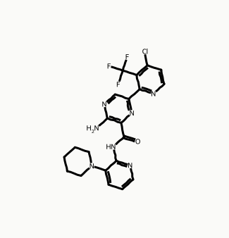 Nc1ncc(-c2nccc(Cl)c2C(F)(F)F)nc1C(=O)Nc1ncccc1N1CCCCC1